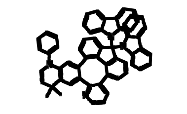 CC1(C)C=CN(c2ccccc2)c2cc3c(cc21)-c1ncccc1-c1cccc2c1-c1c-3cccc1C2(n1c2ccccc2c2ccccc21)n1c2ccccc2c2ccccc21